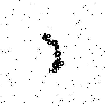 CC(=O)N(C)CCOc1cccc(OC[C@H]2CC[C@H](CN3Cc4ccc(O)c(F)c4C3=O)CC2)c1